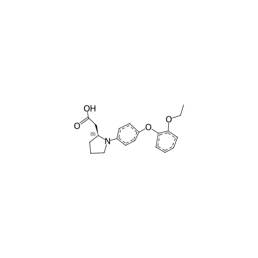 CCOc1ccccc1Oc1ccc(N2CCC[C@H]2CC(=O)O)cc1